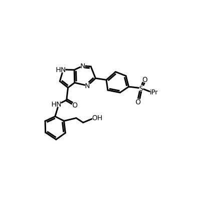 CC(C)S(=O)(=O)c1ccc(-c2cnc3[nH]cc(C(=O)Nc4ccccc4CCO)c3n2)cc1